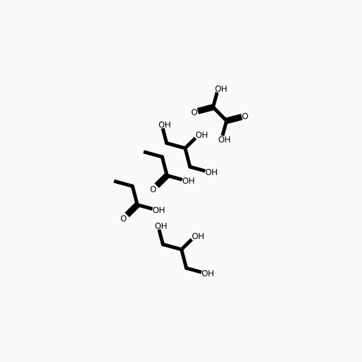 CCC(=O)O.CCC(=O)O.O=C(O)C(=O)O.OCC(O)CO.OCC(O)CO